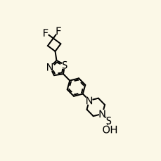 OSN1CCN(c2ccc(-c3cnc(C4CC(F)(F)C4)s3)cc2)CC1